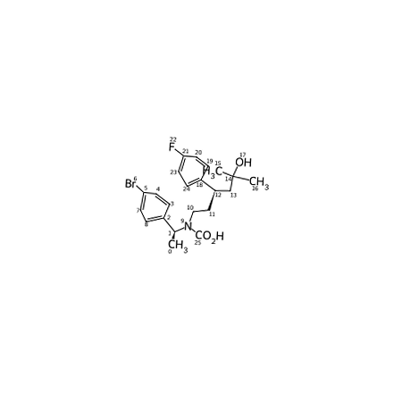 C[C@@H](c1ccc(Br)cc1)N(CC[C@H](CC(C)(C)O)c1ccc(F)cc1)C(=O)O